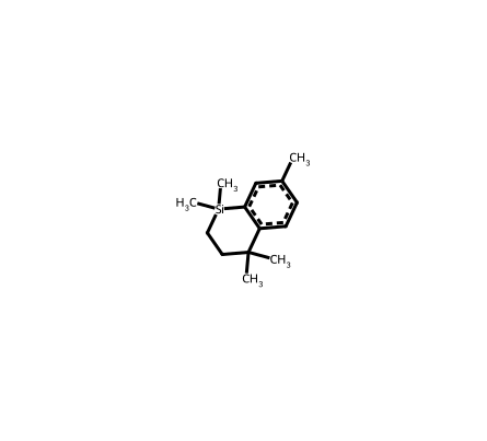 Cc1ccc2c(c1)[Si](C)(C)CCC2(C)C